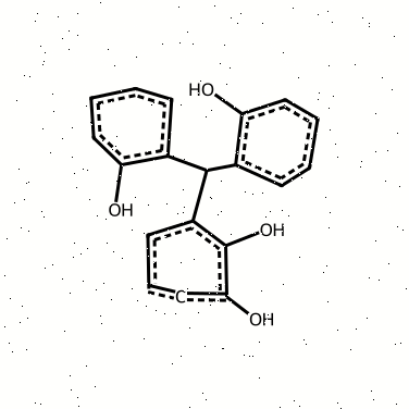 Oc1ccccc1C(c1ccccc1O)c1cccc(O)c1O